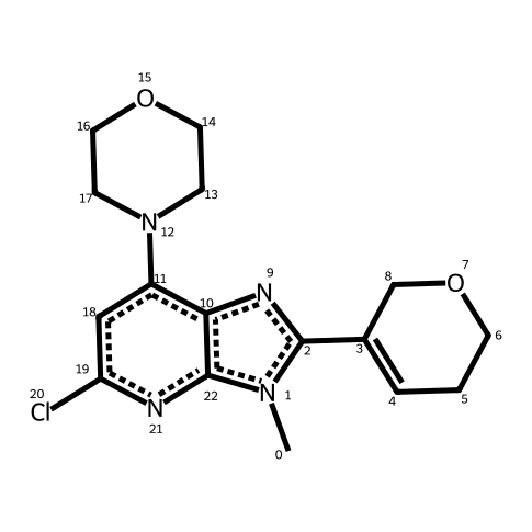 Cn1c(C2=CCCOC2)nc2c(N3CCOCC3)cc(Cl)nc21